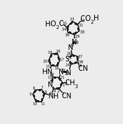 Cc1c(C#N)c(Nc2ccccc2)nc(Nc2ccccc2)c1N=Nc1sc(N=Nc2cc(C(=O)O)cc(C(=O)O)c2)cc1C#N